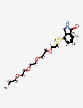 O=C1NCc2c(SCCOCCOCCOCCOCCI)cccc21